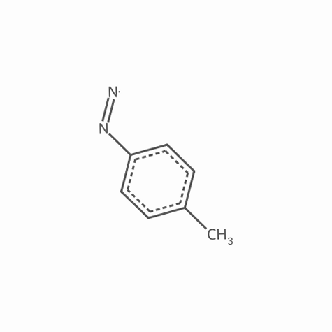 Cc1ccc(N=[N])cc1